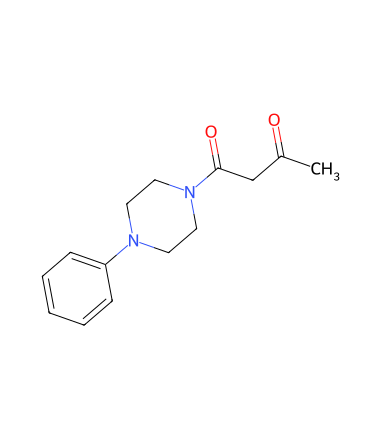 CC(=O)CC(=O)N1CCN(c2ccccc2)CC1